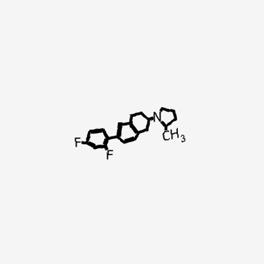 CC1CCCN1C1CCc2cc(-c3ccc(F)cc3F)ccc2C1